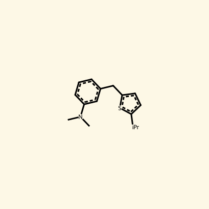 CC(C)c1ccc(Cc2cccc(N(C)C)c2)s1